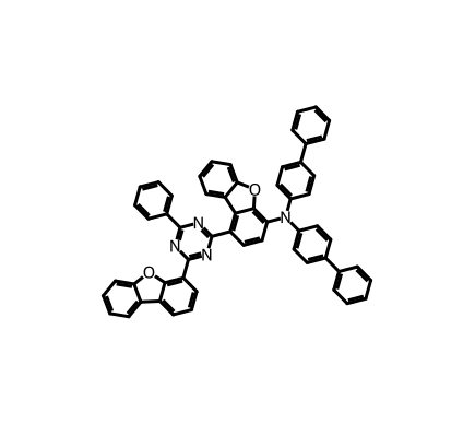 c1ccc(-c2ccc(N(c3ccc(-c4ccccc4)cc3)c3ccc(-c4nc(-c5ccccc5)nc(-c5cccc6c5oc5ccccc56)n4)c4c3oc3ccccc34)cc2)cc1